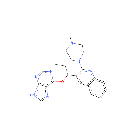 CCC(Oc1ncnc2[nH]cnc12)c1cc2ccccc2nc1N1CCN(C)CC1